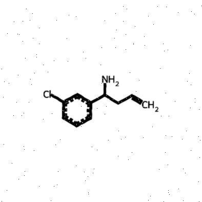 C=CCC(N)c1cccc(Cl)c1